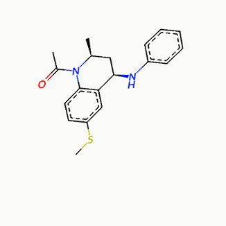 CSc1ccc2c(c1)[C@H](Nc1ccccc1)C[C@H](C)N2C(C)=O